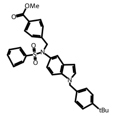 COC(=O)c1ccc(CN(c2ccc3c(ccn3Cc3ccc(C(C)(C)C)cc3)c2)S(=O)(=O)c2ccccc2)cc1